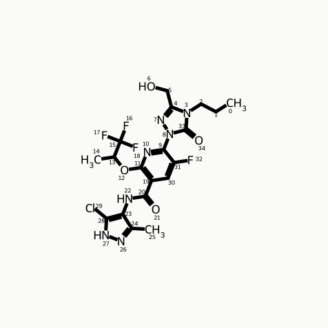 CCCn1c(CO)nn(-c2nc(OC(C)C(F)(F)F)c(C(=O)Nc3c(C)n[nH]c3Cl)cc2F)c1=O